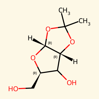 CC1(C)O[C@H]2O[C@H](CO)C(O)[C@H]2O1